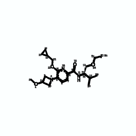 COC1CN(c2ccc(C(=O)N[C@H](COCF)C(C)C)nc2OCC2CC2)C1